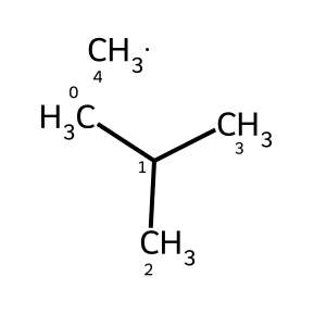 CC(C)C.[CH3]